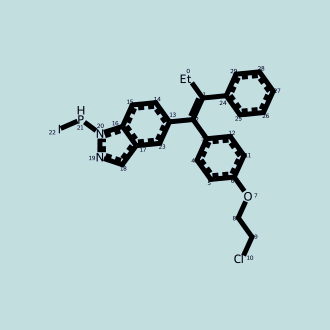 CC/C(=C(/c1ccc(OCCCl)cc1)c1ccc2c(cnn2PI)c1)c1ccccc1